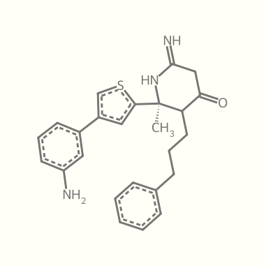 C[C@]1(c2cc(-c3cccc(N)c3)cs2)NC(=N)CC(=O)C1CCCc1ccccc1